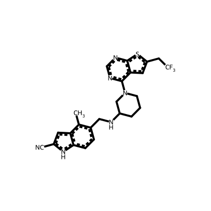 Cc1c(CNC2CCCN(c3ncnc4sc(CC(F)(F)F)cc34)C2)ccc2[nH]c(C#N)cc12